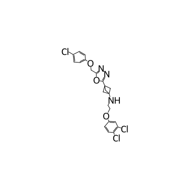 Clc1ccc(OCc2nnc(C34CC(NCCOc5ccc(Cl)c(Cl)c5)(C3)C4)o2)cc1